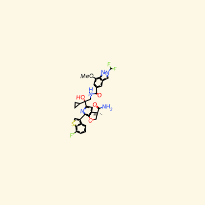 COc1cc(C(=O)NCC(O)(c2cc3c(c(-c4csc5c(F)cccc45)n2)OC[C@]3(C)C(N)=O)C2CC2)cc2cn(C(F)F)nc12